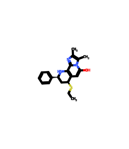 CCS[C@H]1C[C@H](c2ccccc2)Nc2c1cc(O)n1c(C)c(C)nc21